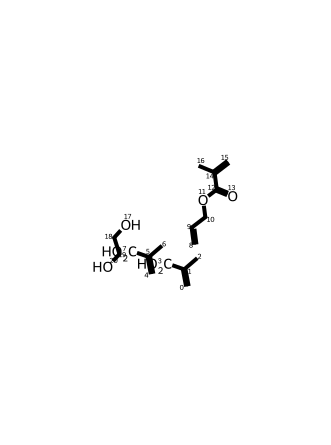 C=C(C)C(=O)O.C=C(C)C(=O)O.C=CCOC(=O)C(=C)C.OCCO